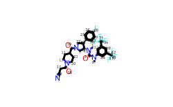 CN(C(=O)N(C)[C@@H]1CN(C(=O)C2CCN(C(=O)CC#N)CC2)C[C@H]1c1ccc(F)cc1)c1cc(C(F)(F)F)cc(C(F)(F)F)c1